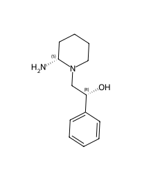 N[C@@H]1CCCCN1C[C@H](O)c1ccccc1